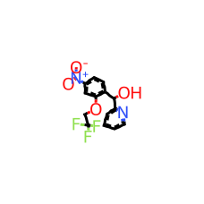 O=[N+]([O-])c1ccc(C(O)c2ccccn2)c(OCC(F)(F)F)c1